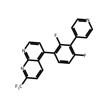 Fc1ccc(-c2ccnc3nc(C(F)(F)F)ccc23)c(F)c1-c1ccncc1